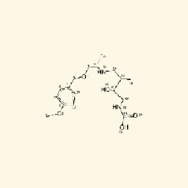 COc1ccc(COC[C@H](C)NC[C@@H](C)[C@@H](O)CNC(=O)O)cc1